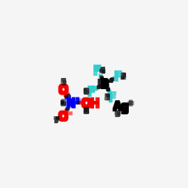 F[B-](F)(F)F.O=[N+]([O-])O.[Ag+]